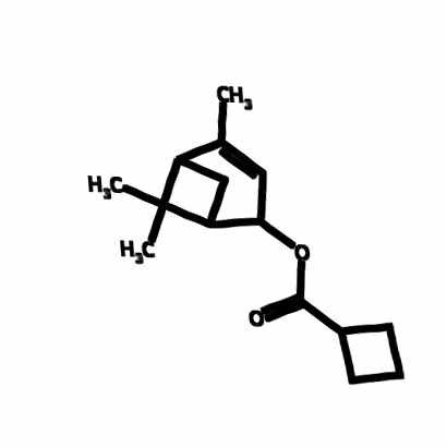 CC1=CC(OC(=O)C2CCC2)C2CC1C2(C)C